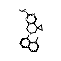 COc1ncc2c(n1)CN(c1cccc3cccc(C)c13)CC21CC1